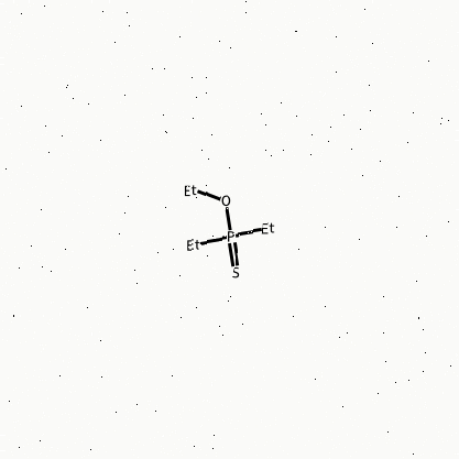 CCOP(=S)(CC)CC